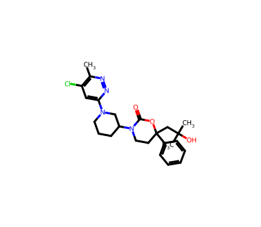 Cc1nnc(N2CCCC(N3CCC(CC(C)(C)O)(c4ccccc4)OC3=O)C2)cc1Cl